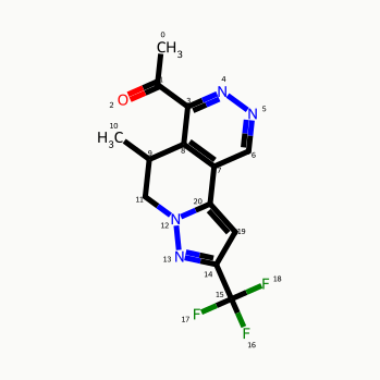 CC(=O)c1nncc2c1C(C)Cn1nc(C(F)(F)F)cc1-2